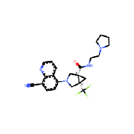 N#Cc1ccc(N2C[C@@]3(C(=O)NCCN4CCCC4)C[C@@]3(C(F)(F)F)C2)c2cccnc12